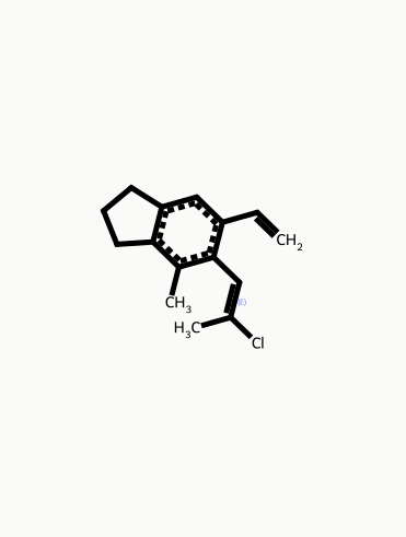 C=Cc1cc2c(c(C)c1/C=C(\C)Cl)CCC2